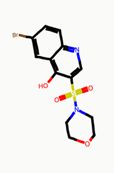 O=S(=O)(c1cnc2ccc(Br)cc2c1O)N1CCOCC1